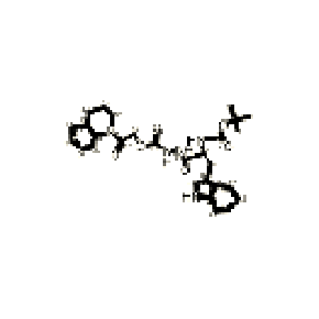 CC(C)(C)OC(=O)N[C@@H](Cc1c[nH]c2ccccc12)C(=O)NNC(=O)OCC(=O)N1CCCc2ccccc21